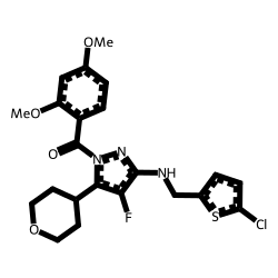 COc1ccc(C(=O)n2nc(NCc3ccc(Cl)s3)c(F)c2C2CCOCC2)c(OC)c1